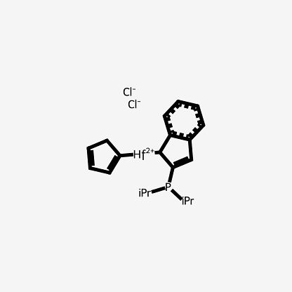 CC(C)P(C1=Cc2ccccc2[CH]1[Hf+2][C]1=CC=CC1)C(C)C.[Cl-].[Cl-]